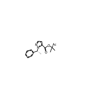 CC(=O)C(C)(C)OC(=O)c1ccnn1[C@H](C)c1ccccc1